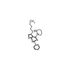 CCCC[S+]([O-])c1csc2nc(-c3ccccc3)nc(N3CCCCC3)c12